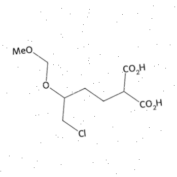 COCOC(CCl)CCC(C(=O)O)C(=O)O